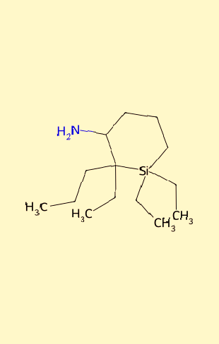 CCCC1(CC)C(N)CCC[Si]1(CC)CC